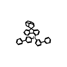 c1ccc(-c2ccc(N(c3cccc(-c4ccccc4)c3)c3cccc4c3-c3ccccc3C43C4CC5CC(C4)CC3C5)cc2)cc1